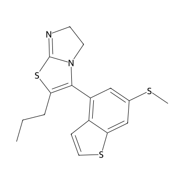 CCCC1=C(c2cc(SC)cc3sccc23)N2CCN=C2S1